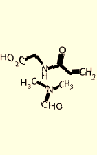 C=CC(=O)NCC(=O)O.CN(C)C=O